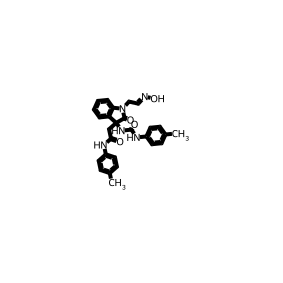 Cc1ccc(NC(=O)CC2(NC(=O)Nc3ccc(C)cc3)C(=O)N(CC=NO)c3ccccc32)cc1